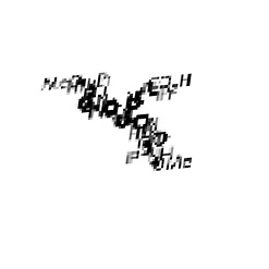 COCN[C@H](C(=O)N1CCC[C@H]1c1nc2ccc([C@H]3CC[C@H](c4ccc5nc([C@@H]6CCCN6C(=O)[C@@H](NCOC)C(C)C)[nH]c5c4)N3c3ccc(CN(CC(C)C)C(=O)O)nc3)cc2[nH]1)C(C)C